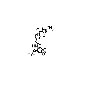 COc1cc2c(cc1NC(=O)CC1CCN(C(=O)c3nc(C)c[nH]3)CC1)OCO2